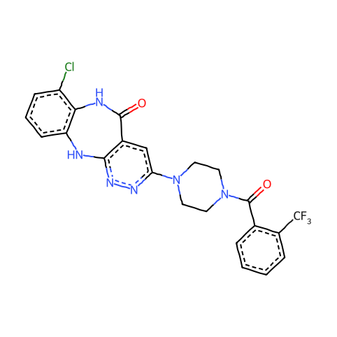 O=C1Nc2c(Cl)cccc2Nc2nnc(N3CCN(C(=O)c4ccccc4C(F)(F)F)CC3)cc21